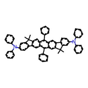 CC1(C)c2cc(N(c3ccccc3)c3ccccc3)ccc2-c2cc3c(-c4ccccc4)c4cc5c(cc4c(-c4ccccc4)c3cc21)-c1ccc(N(c2ccccc2)c2ccccc2)cc1C5(C)C